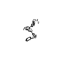 Cn1cc(-c2ccnc3cc(-c4cnn(Cc5ccccc5)c4)oc23)cn1